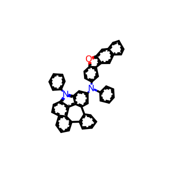 c1ccc(N(c2ccc3oc4cc5ccccc5cc4c3c2)c2cc3c4c5c6c(cccc6ccc5n(-c5ccccc5)c4c2)-c2ccccc2-3)cc1